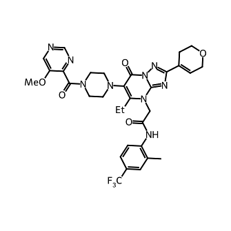 CCc1c(N2CCN(C(=O)c3ncncc3OC)CC2)c(=O)n2nc(C3=CCOCC3)nc2n1CC(=O)Nc1ccc(C(F)(F)F)cc1C